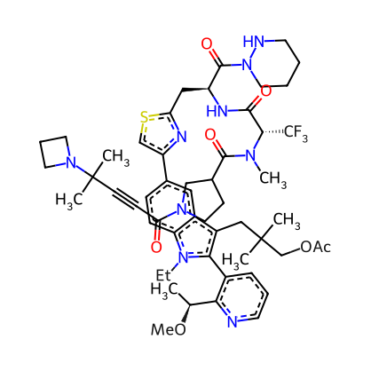 CCn1c(-c2cccnc2[C@H](C)OC)c(CC(C)(C)COC(C)=O)c2cc(-c3csc(C[C@H](NC(=O)[C@@H](N(C)C(=O)C4CCN(C(=O)C#CC(C)(C)N5CCC5)C4)C(F)(F)F)C(=O)N4CCCCN4)n3)ccc21